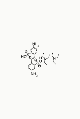 CCN(CC)CC.CCN(CC)CC.Nc1ccc(/C=C/c2ccc(N)cc2S(=O)(=O)O)c(S(=O)(=O)O)c1